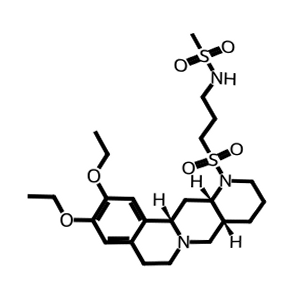 CCOc1cc2c(cc1OCC)[C@@H]1C[C@H]3[C@H](CCCN3S(=O)(=O)CCCNS(C)(=O)=O)CN1CC2